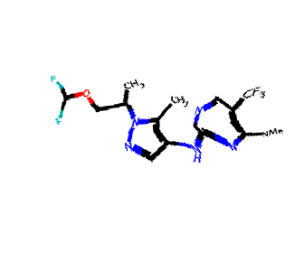 CNc1nc(Nc2cnn(C(C)COC(F)F)c2C)ncc1C(F)(F)F